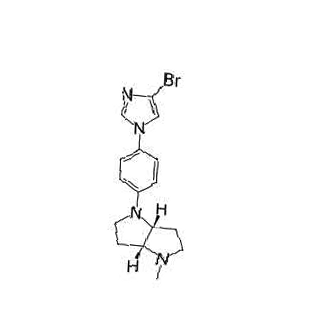 CN1CC[C@@H]2[C@H]1CCN2c1ccc(-n2cnc(Br)c2)cc1